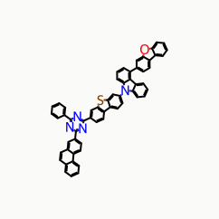 c1ccc(-c2nc(-c3ccc4c(ccc5ccccc54)c3)nc(-c3ccc4c(c3)sc3cc(-n5c6ccccc6c6c(-c7ccc8c(c7)oc7ccccc78)cccc65)ccc34)n2)cc1